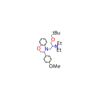 CCN(CC)C(COCC(C)(C)C)CN1c2ccccc2OCC1c1ccc(OC)cc1